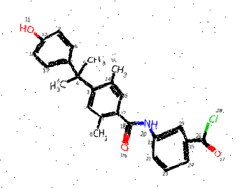 Cc1cc(C(C)(C)c2ccc(O)cc2)c(C)cc1C(=O)Nc1cccc(C(=O)Cl)c1